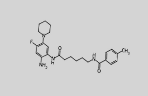 Cc1ccc(C(=O)NCCCCCC(=O)Nc2cc(N3CCCCC3)c(F)cc2N)cc1